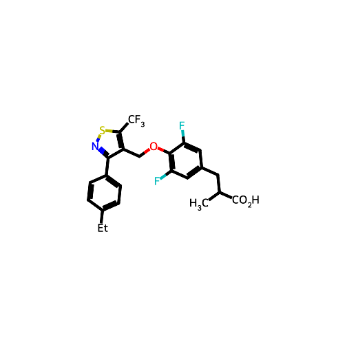 CCc1ccc(-c2nsc(C(F)(F)F)c2COc2c(F)cc(CC(C)C(=O)O)cc2F)cc1